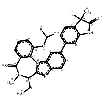 CC[C@@H]1c2nc3ccc(-c4ccc5c(c4)NC(=O)C5(C)O)cc3n2-c2c(OC(F)F)cccc2C(=O)N1C